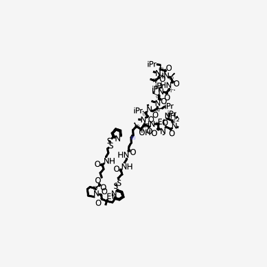 CC[C@H](NC(=O)[C@H]([C@H](O)[C@H](C)C/C=C/CCC(=O)NCCNC(=O)CCSSc1cccc(CC(C)(CC)C(=O)C(=O)N2CCCC[C@H]2C(=O)OCCCC(=O)NCCCSSc2ccccn2)n1)N(C)C(=O)[C@H](C(C)C)N(C)C(=O)[C@H](CC(C)C)N(C)C(=O)[C@H](CC(C)C)N(C)C(=O)[C@@H](C)NC(=O)[C@H](C)NC(=O)[C@H](CC(C)C)N(C)C(=O)[C@@H](C)C(C)C)C(=O)N(C)CC(=O)N(C)[C@@H](CC(C)C)C(N)=O